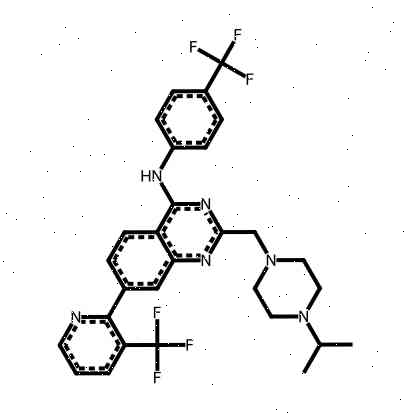 CC(C)N1CCN(Cc2nc(Nc3ccc(C(F)(F)F)cc3)c3ccc(-c4ncccc4C(F)(F)F)cc3n2)CC1